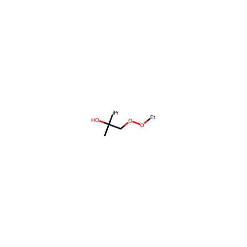 CCOOCC(C)(O)C(C)C